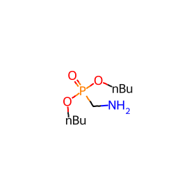 CCCCOP(=O)(CN)OCCCC